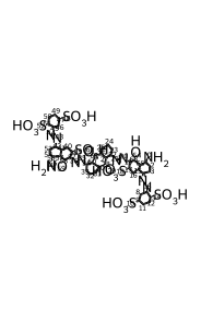 Nc1ccc(N=Nc2cc(S(=O)(=O)O)ccc2S(=O)(=O)O)c2cc(S(=O)(=O)O)c(N=Nc3cccc4c3C(=O)c3cccc(N=Nc5c(S(=O)(=O)O)cc6c(N=Nc7cc(S(=O)(=O)O)ccc7S(=O)(=O)O)ccc(N)c6c5O)c3C4=O)c(O)c12